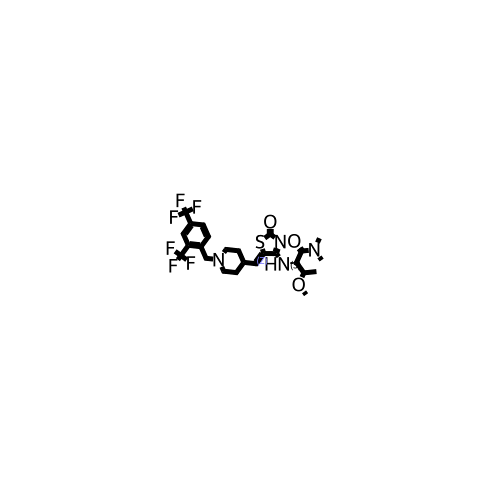 COC(C)[C@H](NC1=NC(=O)S/C1=C\C1CCN(Cc2ccc(C(F)(F)F)cc2C(F)(F)F)CC1)C(=O)N(C)C